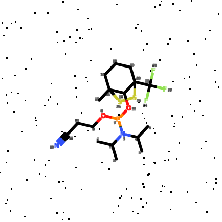 CC(C)N(C(C)C)P(OCCC#N)OC1C2(C)CCCC1(C(F)(F)F)SS2